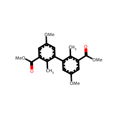 COC(=O)c1cc(OC)cc(-c2cc(OC)cc(C(=O)OC)c2C)c1C